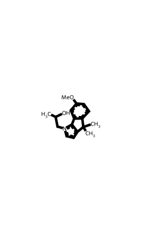 COc1ccc2c(c1)-c1c(ccn1CC(C)O)C2(C)C